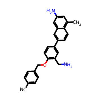 Cc1cc(N)cc2cc(-c3ccc(OCc4ccc(C#N)cc4)c(CN)c3)ccc12